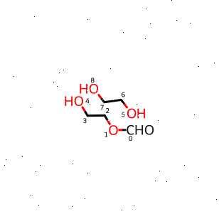 O=COCCO.OCCO